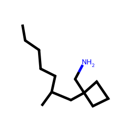 CCCCCC(C)CC1(CN)CCC1